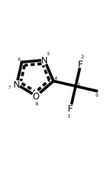 CC(F)(F)c1ncno1